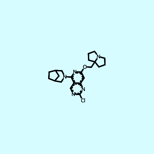 Clc1ncc2c(N3CC4CCC(C4)C3)nc(OCC34CCCN3CCC4)cc2n1